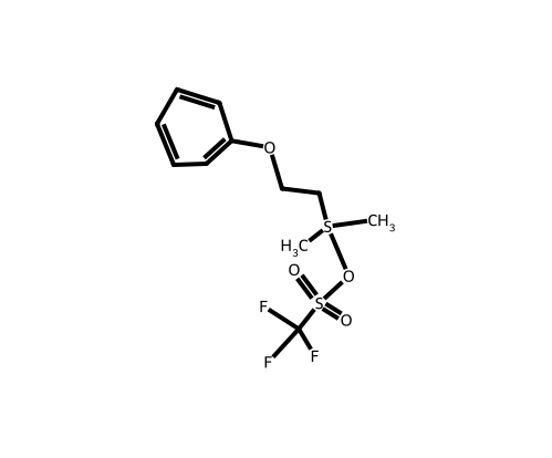 CS(C)(CCOc1ccccc1)OS(=O)(=O)C(F)(F)F